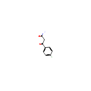 NC(=O)[CH]C(=O)c1ccc(Cl)cc1